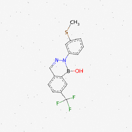 CSc1cccc(N2N=Cc3ccc(C(F)(F)F)cc3B2O)c1